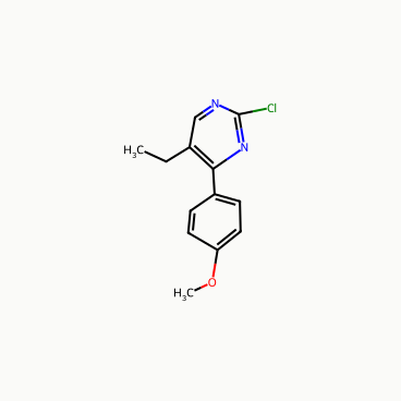 CCc1cnc(Cl)nc1-c1ccc(OC)cc1